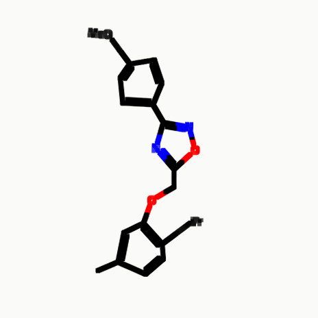 COc1ccc(-c2noc(COc3cc(C)ccc3C(C)C)n2)cc1